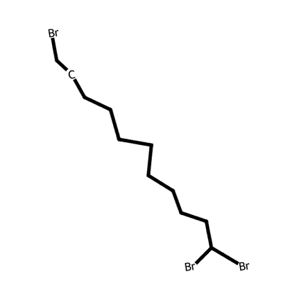 BrCCCCCCCCCCC(Br)Br